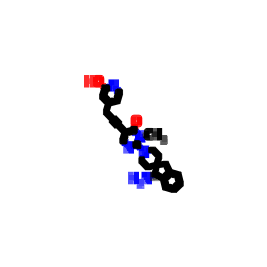 Cn1c(N2CCC3(CC2)Cc2ccccc2[C@H]3N)ncc(C#CCc2ccnc(O)c2)c1=O